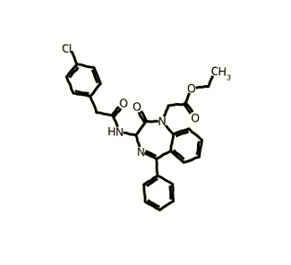 CCOC(=O)CN1C(=O)C(NC(=O)Cc2ccc(Cl)cc2)N=C(c2ccccc2)c2ccccc21